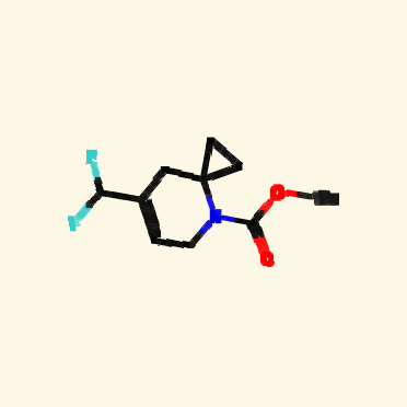 CC(C)(C)OC(=O)N1CC=C(C(F)F)CC12CC2